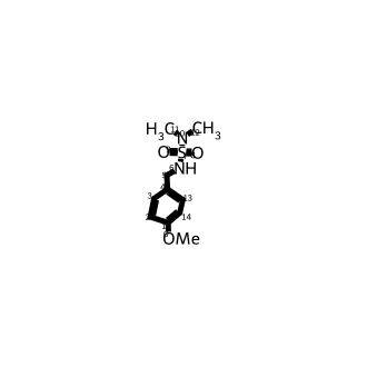 COc1ccc(CNS(=O)(=O)N(C)C)cc1